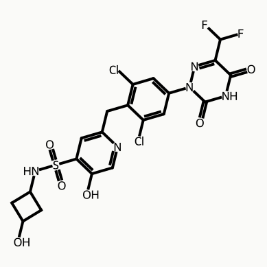 O=c1[nH]c(=O)n(-c2cc(Cl)c(Cc3cc(S(=O)(=O)NC4CC(O)C4)c(O)cn3)c(Cl)c2)nc1C(F)F